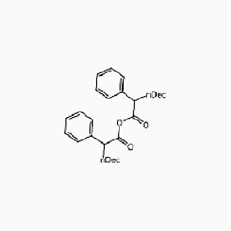 CCCCCCCCCCC(C(=O)OC(=O)C(CCCCCCCCCC)c1ccccc1)c1ccccc1